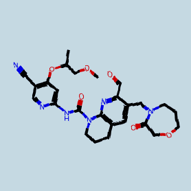 COCC(C)Oc1cc(NC(=O)N2CCCc3cc(CN4CCCOCC4=O)c(C=O)nc32)ncc1C#N